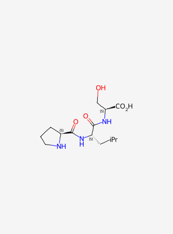 CC(C)C[C@H](NC(=O)[C@@H]1CCCN1)C(=O)N[C@@H](CO)C(=O)O